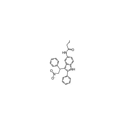 O=C(CI)Nc1ccc2[nH]c(-c3ccccc3)c(C(C[N+](=O)[O-])c3ccccc3)c2c1